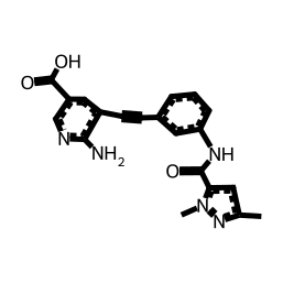 Cc1cc(C(=O)Nc2cccc(C#Cc3cc(C(=O)O)cnc3N)c2)n(C)n1